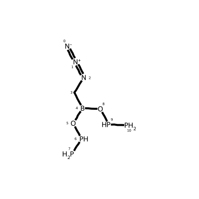 [N-]=[N+]=NCB(OPP)OPP